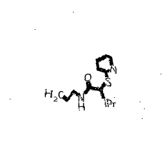 C=CCNC(=O)C(Sc1ccccn1)C(C)C